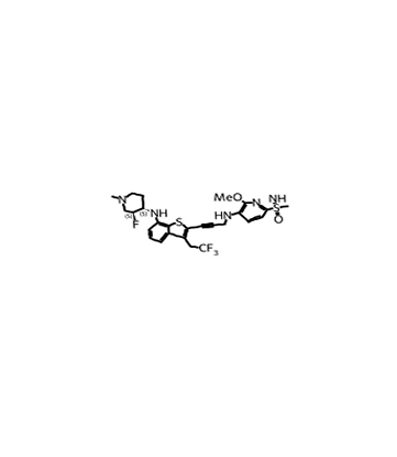 COc1nc(S(C)(=N)=O)ccc1NCC#Cc1sc2c(N[C@H]3CCN(C)C[C@@H]3F)cccc2c1CC(F)(F)F